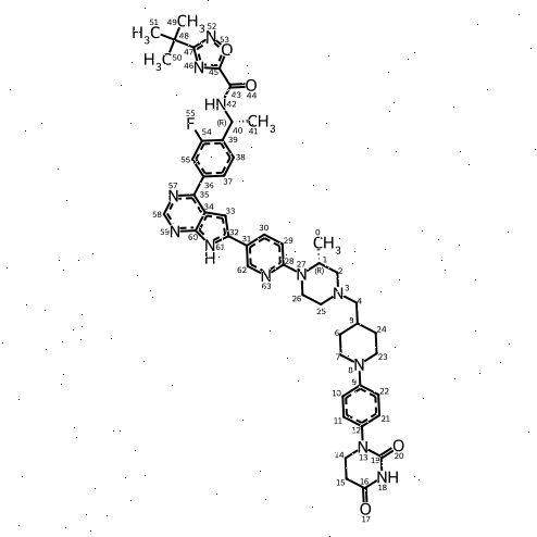 C[C@@H]1CN(CC2CCN(c3ccc(N4CCC(=O)NC4=O)cc3)CC2)CCN1c1ccc(-c2cc3c(-c4ccc([C@@H](C)NC(=O)c5nc(C(C)(C)C)no5)c(F)c4)ncnc3[nH]2)cn1